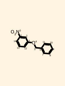 O=[N+]([O-])c1[c]c(OCc2ccccc2)ccc1